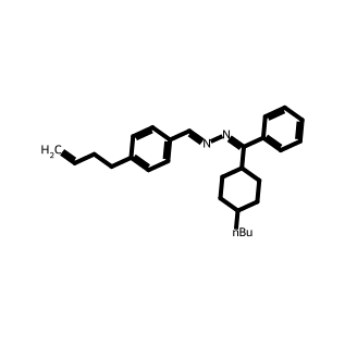 C=CCCc1ccc(C=NN=C(c2ccccc2)C2CCC(CCCC)CC2)cc1